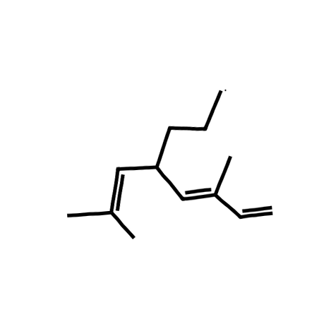 [CH2]CCC(C=C(C)C)C=C(C)C=C